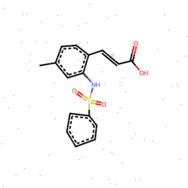 Cc1ccc(/C=C/C(=O)O)c(NS(=O)(=O)c2ccccc2)c1